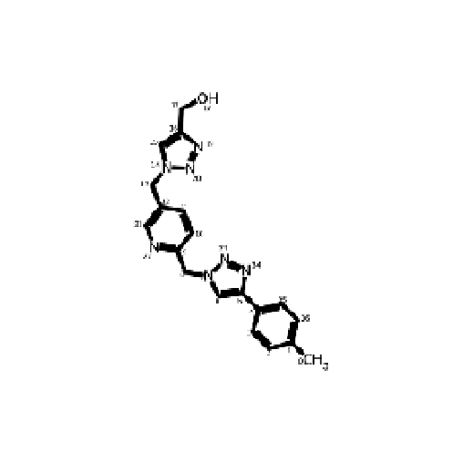 Cc1ccc(-c2cn(Cc3ccc(Cn4cc(CO)nn4)cn3)nn2)cc1